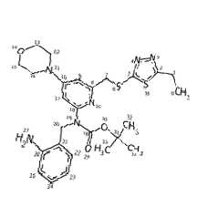 CCc1nnc(SCc2cc(N3CCOCC3)cc(N(Cc3ccccc3N)C(=O)OC(C)(C)C)n2)s1